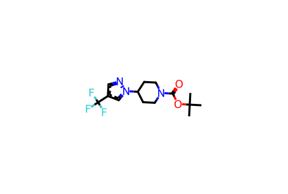 CC(C)(C)OC(=O)N1CCC(n2cc(C(F)(F)F)cn2)CC1